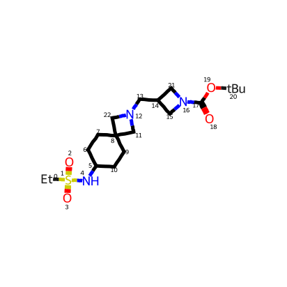 CCS(=O)(=O)NC1CCC2(CC1)CN(CC1CN(C(=O)OC(C)(C)C)C1)C2